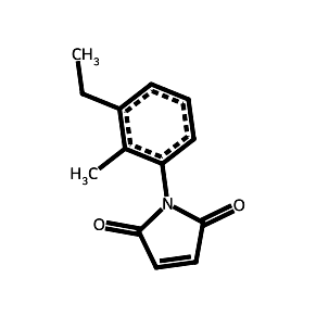 CCc1cccc(N2C(=O)C=CC2=O)c1C